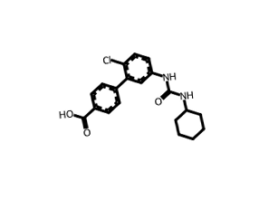 O=C(Nc1ccc(Cl)c(-c2ccc(C(=O)O)cc2)c1)NC1CCCCC1